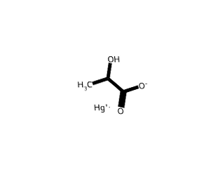 CC(O)C(=O)[O-].[Hg+]